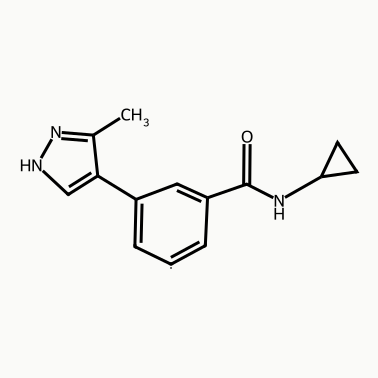 Cc1n[nH]cc1-c1c[c]cc(C(=O)NC2CC2)c1